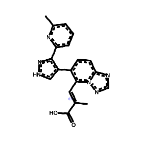 C/C(=C\c1c(-c2c[nH]nc2-c2cccc(C)n2)ccc2ncnn12)C(=O)O